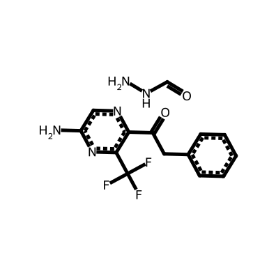 NNC=O.Nc1cnc(C(=O)Cc2ccccc2)c(C(F)(F)F)n1